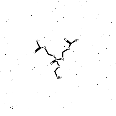 CC(C)C(=O)OCOP(=O)(OCOC(=O)C(C)C)OCC(C)(C)C